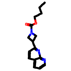 CCCCOC(=O)N1CC(c2ccc3cccnc3n2)C1